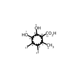 Cc1c(I)c(I)c(O)c(O)c1C(=O)O